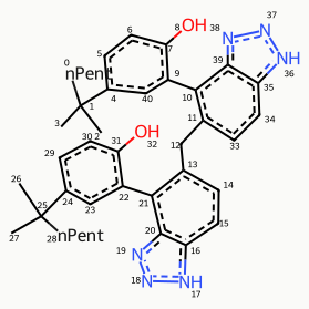 CCCCCC(C)(C)c1ccc(O)c(-c2c(Cc3ccc4[nH]nnc4c3-c3cc(C(C)(C)CCCCC)ccc3O)ccc3[nH]nnc23)c1